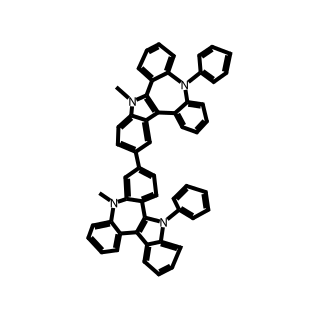 CN1c2ccccc2-c2c(n(-c3ccccc3)c3ccccc23)-c2ccc(-c3ccc4c(c3)c3c(n4C)-c4ccccc4N(c4ccccc4)c4ccccc4-3)cc21